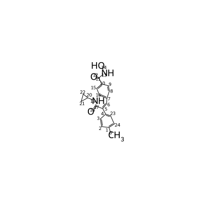 Cc1ccc(C(=Cc2ccc(C(=O)NO)cc2)C(=O)NC2CC2)cc1